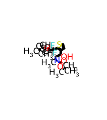 CN(CC(O)c1ccsc1C(F)(F)CO[Si](C)(C)C(C)(C)C)C(=O)OC(C)(C)C